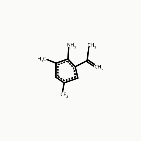 C=C(C)c1cc(C(F)(F)F)cc(C)c1N